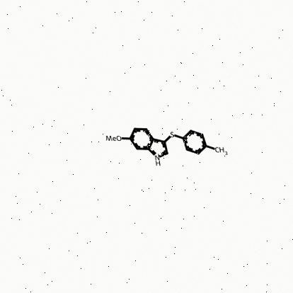 COc1ccc2c(Sc3ccc(C)cc3)c[nH]c2c1